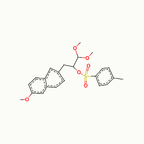 COc1ccc2cc(CC(OS(=O)(=O)c3ccc(C)cc3)C(OC)OC)ccc2c1